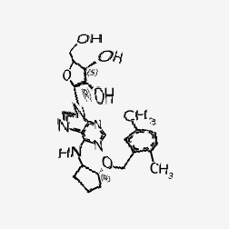 Cc1ccc(C)c(CO[C@@H]2CCCC2Nc2ncnc3c2ncn3C2OC(CO)[C@@H](O)[C@H]2O)c1